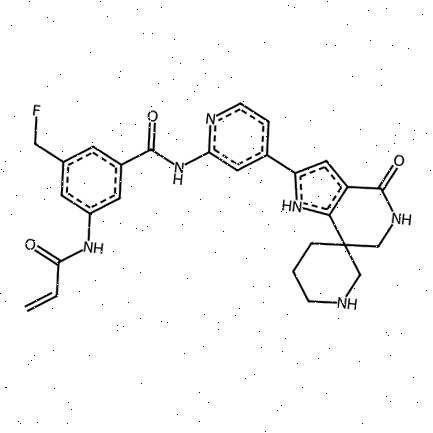 C=CC(=O)Nc1cc(CF)cc(C(=O)Nc2cc(-c3cc4c([nH]3)C3(CCCNC3)CNC4=O)ccn2)c1